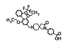 CCOc1cc(CN2CCC3(CC2)CC(=O)N(c2ccc(C(=O)O)cc2)C3)cc(OCC)c1-c1ccccc1OC(F)(F)F